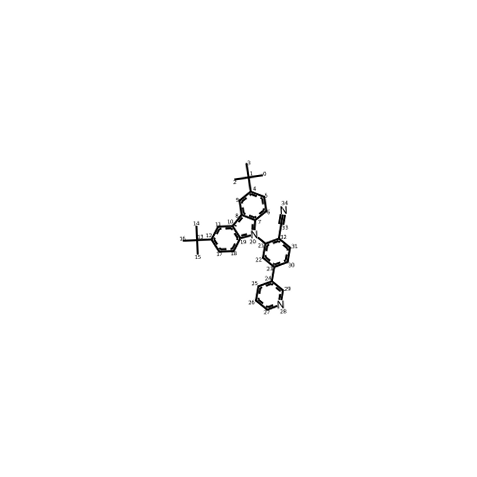 CC(C)(C)c1ccc2c(c1)c1cc(C(C)(C)C)ccc1n2-c1cc(-c2cccnc2)ccc1C#N